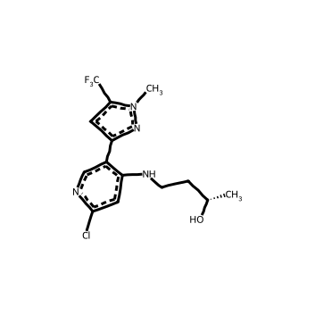 C[C@H](O)CCNc1cc(Cl)ncc1-c1cc(C(F)(F)F)n(C)n1